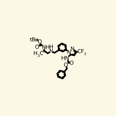 C[C@@H](CNCc1cccc(-n2nc(C(F)(F)F)cc2NC(=O)OCc2ccccc2)c1)NC(=O)OC(C)(C)C